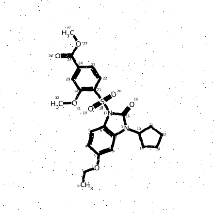 CCOc1ccc2c(c1)n(C1CCCC1)c(=O)n2S(=O)(=O)c1ccc(C(=O)OC)cc1OC